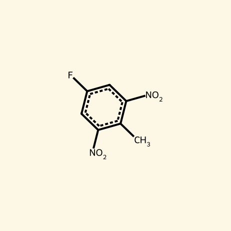 Cc1c([N+](=O)[O-])cc(F)cc1[N+](=O)[O-]